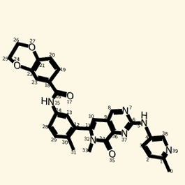 Cc1ccc(Nc2ncc3cc(-c4cc(NC(=O)c5ccc6c(c5)OCCO6)ccc4C)n(C)c(=O)c3n2)cn1